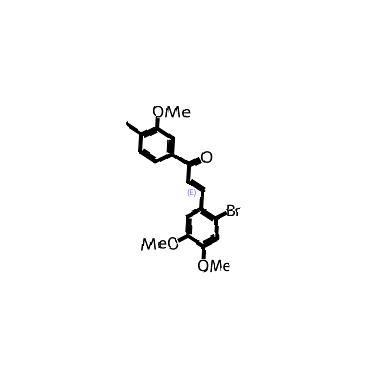 COc1cc(C(=O)/C=C/c2cc(OC)c(OC)cc2Br)ccc1C